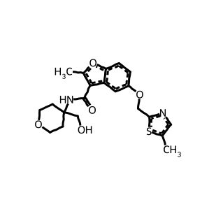 Cc1cnc(COc2ccc3oc(C)c(C(=O)NC4(CO)CCOCC4)c3c2)s1